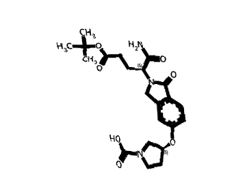 CC(C)(C)OC(=O)CC[C@@H](C(N)=O)N1Cc2cc(O[C@H]3CCN(C(=O)O)C3)ccc2C1=O